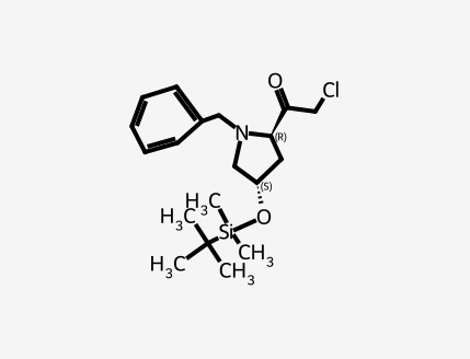 CC(C)(C)[Si](C)(C)O[C@H]1C[C@H](C(=O)CCl)N(Cc2ccccc2)C1